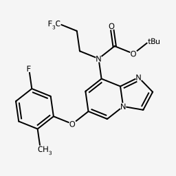 Cc1ccc(F)cc1Oc1cc(N(CCC(F)(F)F)C(=O)OC(C)(C)C)c2nccn2c1